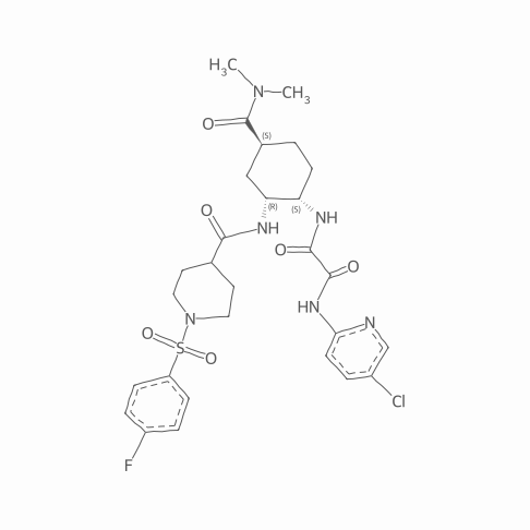 CN(C)C(=O)[C@H]1CC[C@H](NC(=O)C(=O)Nc2ccc(Cl)cn2)[C@H](NC(=O)C2CCN(S(=O)(=O)c3ccc(F)cc3)CC2)C1